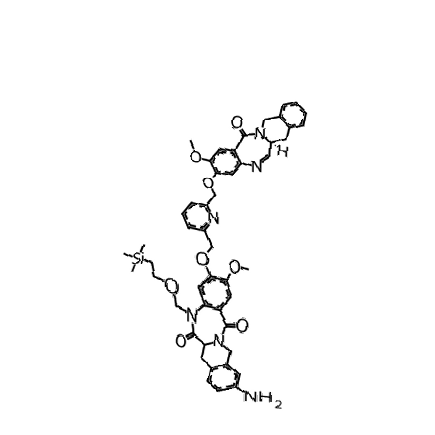 COc1cc2c(cc1OCc1cccc(COc3cc4c(cc3OC)C(=O)N3Cc5cc(N)ccc5CC3C(=O)N4COCC[Si](C)(C)C)n1)N=C[C@@H]1Cc3ccccc3CN1C2=O